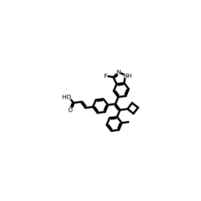 Cc1ccccc1/C(=C(\c1ccc(/C=C/C(=O)O)cc1)c1ccc2[nH]nc(F)c2c1)C1CCC1